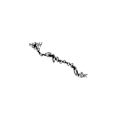 CCCCCCCCCCCCOCCOCCOCCOCCOCCOCCOCCOCCOCCOCCOP(=O)(O)O